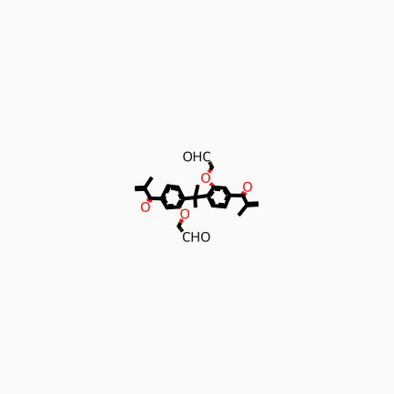 C=C(C)C(=O)c1ccc(C(C)(C)c2ccc(C(=O)C(=C)C)cc2OCC=O)c(OCC=O)c1